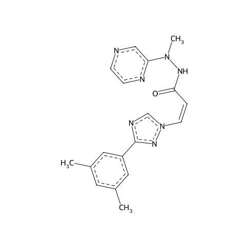 Cc1cc(C)cc(-c2ncn(/C=C\C(=O)NN(C)c3cnccn3)n2)c1